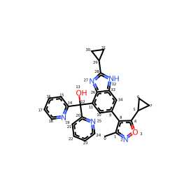 Cc1noc(C2CC2)c1-c1cc(C(O)(c2ccccn2)c2ccccn2)c2nc(C3CC3)[nH]c2c1